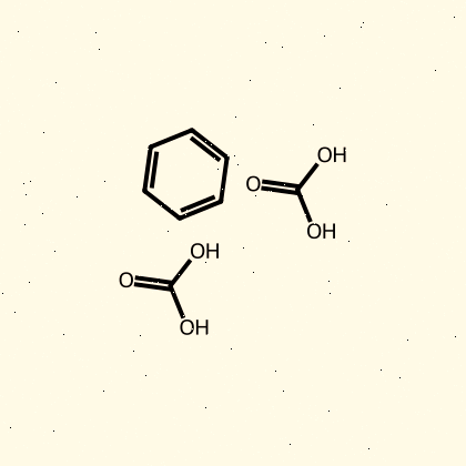 O=C(O)O.O=C(O)O.c1ccccc1